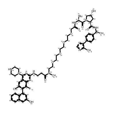 Cc1ncsc1-c1ccc([C@H](C)NC(=O)[C@@H]2C[C@@H](O)CN2C(=O)[C@@H](NC(=O)COCCOCCOCCOCCN(C)C(=O)CCNc2nc(N3CCNCC3)c3cc(Cl)c(-c4cc(O)cc5ccccc45)c(F)c3n2)C(C)(C)C)cc1